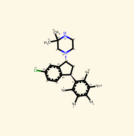 [2H]c1c([2H])c([2H])c([C@@H]2C[C@@H](N3CCNC(C)(C)C3)c3cc(Cl)ccc32)c([2H])c1[2H]